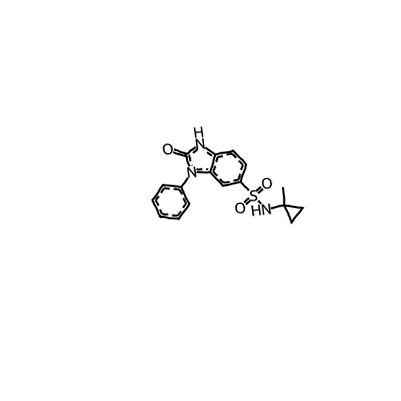 CC1(NS(=O)(=O)c2ccc3[nH]c(=O)n(-c4ccccc4)c3c2)CC1